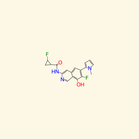 Cn1cccc1-c1cc2cc(NC(=O)C3CC3F)ncc2c(O)c1F